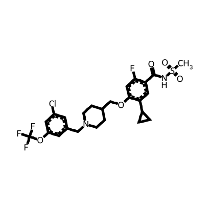 CS(=O)(=O)NC(=O)c1cc(C2CC2)c(OCC2CCN(Cc3cc(Cl)cc(OC(F)(F)F)c3)CC2)cc1F